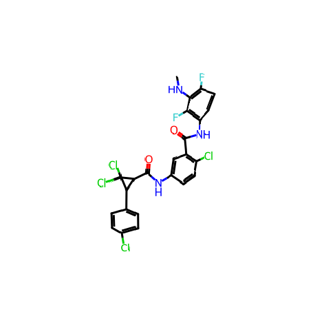 CNc1c(F)ccc(NC(=O)c2cc(NC(=O)C3C(c4ccc(Cl)cc4)C3(Cl)Cl)ccc2Cl)c1F